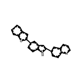 c1cnc2ccc(-c3cc4cc(-c5cc6ccccc6o5)ccc4[nH]3)cc2c1